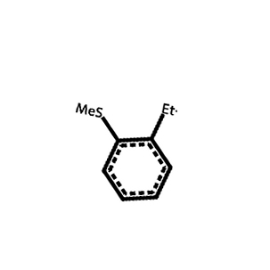 C[CH]c1ccccc1SC